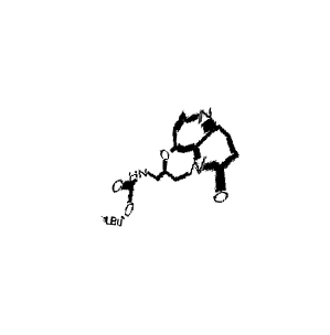 CC(C)(C)OC(=O)NCC1Cn2c(=O)ccc3nccc(c32)O1